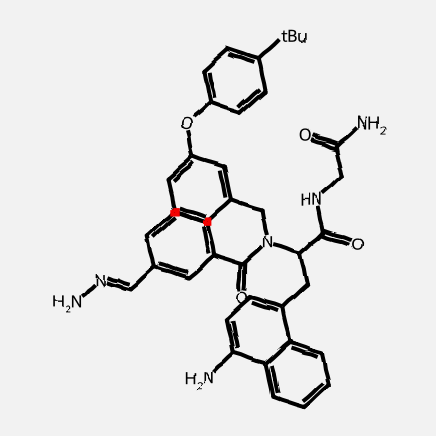 CC(C)(C)c1ccc(Oc2cccc(CN(C(=O)c3cccc(C=NN)c3)C(Cc3ccc(N)c4ccccc34)C(=O)NCC(N)=O)c2)cc1